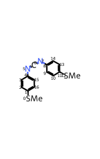 CSc1ccc(N=C=Nc2ccc(SC)cc2)cc1